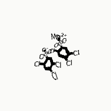 O=S(=O)([O-])c1cc(Cl)c(Cl)cc1Cl.O=S(=O)([O-])c1cc(Cl)c(Cl)cc1Cl.[Mg+2]